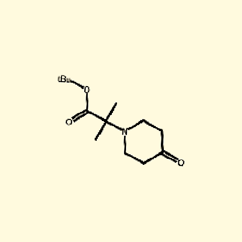 CC(C)(C)OC(=O)C(C)(C)N1CCC(=O)CC1